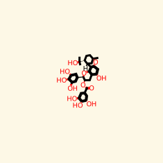 CC12CC[C@@H](C(C)(C)O)[C@H](C1)c1c(cc(O)c3c1O[C@H](c1cc(O)c(O)c(O)c1)[C@H](OC(=O)c1cc(O)c(O)c(O)c1)C3)O2